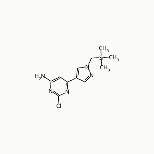 C[Si](C)(C)Cn1cc(-c2cc(N)nc(Cl)n2)cn1